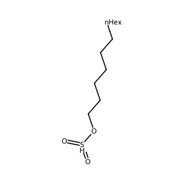 CCCCCCCCCCCCO[SH](=O)=O